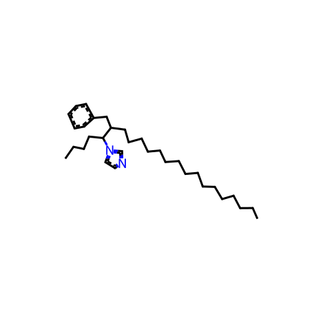 CCCCCCCCCCCCCCCCC(Cc1ccccc1)C(CCCC)n1ccnc1